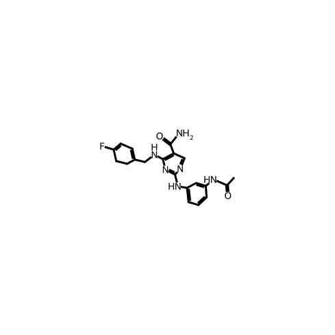 CC(=O)Nc1cccc(Nc2ncc(C(N)=O)c(NCC3=CC=C(F)CC3)n2)c1